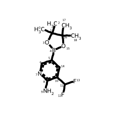 CC1(C)OB(c2cnc(N)c(C(F)F)c2)OC1(C)C